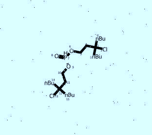 CCCCC(Cl)(CCCC)CCO[PH](=O)OCCC(Cl)(CCCC)CCCC